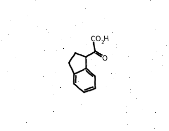 O=C(O)C(=O)C1CCc2ccccc21